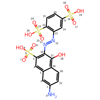 Nc1[c]c2cc(S(=O)(=O)O)c(N=Nc3cc(S(=O)(=O)O)ccc3S(=O)(=O)O)c(O)c2cc1